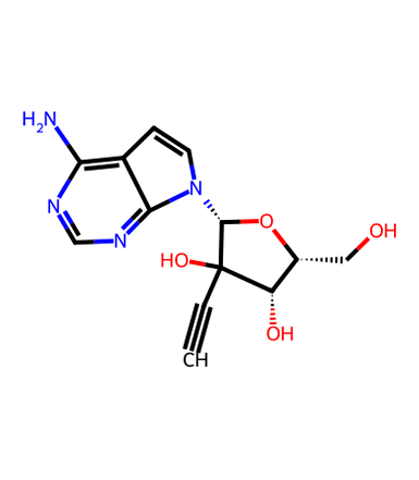 C#CC1(O)[C@@H](O)[C@@H](CO)O[C@H]1n1ccc2c(N)ncnc21